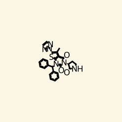 Cc1c(-n2nccn2)sc2c1c(=O)n([C@@H]1CCNC1=O)c(=O)n2C(c1ccccc1)c1ccccc1